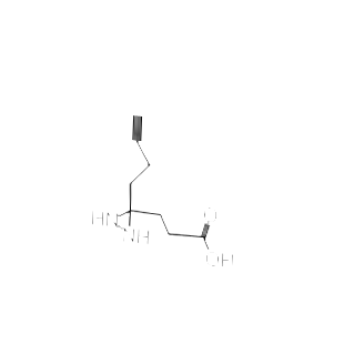 C#CCCC1(CCC(=O)O)NN1